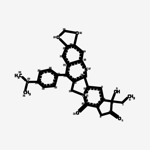 CCC1(O)C(=O)Cc2c1cc1n(c2=O)Cc2c-1nc1cc3c(cc1c2-c1ccc(N(C)C)cc1)OCO3